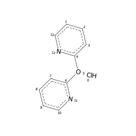 Cl.c1ccc(Oc2ccccn2)nc1